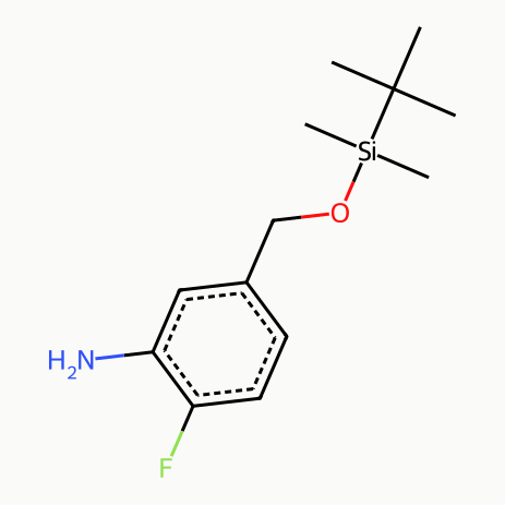 CC(C)(C)[Si](C)(C)OCc1ccc(F)c(N)c1